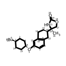 CC(C)(C)[C@H]1CC[C@H](Oc2ccc3c(c2)CC[C@@H]([C@]2(C)COC(=O)N2)C3)CC1